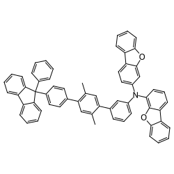 Cc1cc(-c2cccc(N(c3ccc4c(c3)oc3ccccc34)c3cccc4c3oc3ccccc34)c2)c(C)cc1-c1ccc(C2(c3ccccc3)c3ccccc3-c3ccccc32)cc1